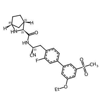 CCOc1cc(-c2ccc(C[C@@H](C#N)NC(=O)[C@H]3N[C@@H]4CC[C@H]3C4)c(F)c2)cc(S(C)(=O)=O)c1